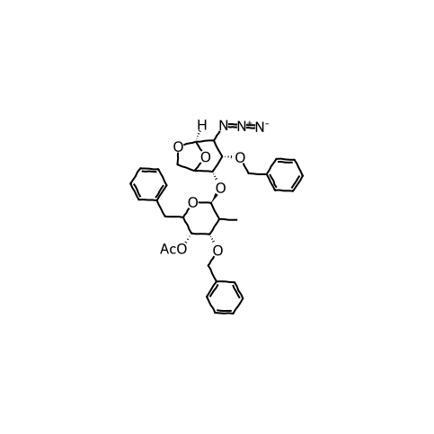 CC(=O)O[C@@H]1C(Cc2ccccc2)O[C@@H](O[C@@H]2C3CO[C@H](O3)C(N=[N+]=[N-])[C@@H]2OCc2ccccc2)C(C)[C@@H]1OCc1ccccc1